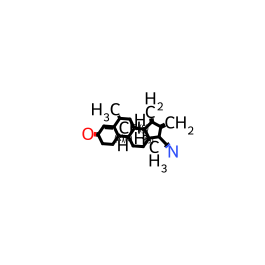 C=C1C(=C)[C@H]2[C@@H]3CC(C)C4=CC(=O)CC[C@]4(C)[C@@H]3CC[C@]2(C)C1C#N